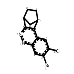 Clc1cc2c3c(nnc2cc1Br)C1CCC3C1